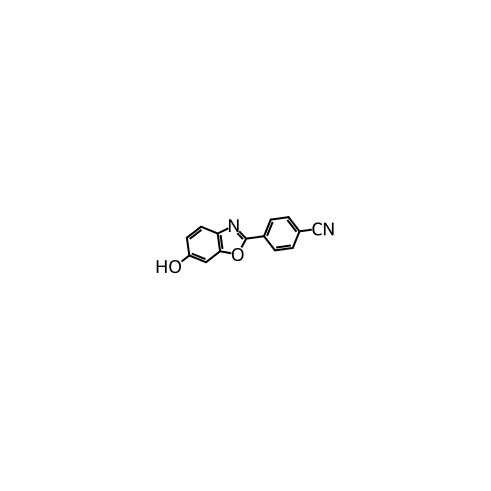 N#Cc1ccc(-c2nc3ccc(O)cc3o2)cc1